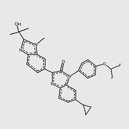 Cn1c(C(C)(C)O)nc2ccc(-c3nc4ccc(C5CC5)cc4n(-c4ccc(OC(F)F)cc4)c3=O)cc21